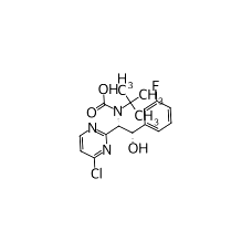 CC(C)(C)N(C(=O)O)[C@@H](c1nccc(Cl)n1)[C@@H](O)c1cccc(F)c1